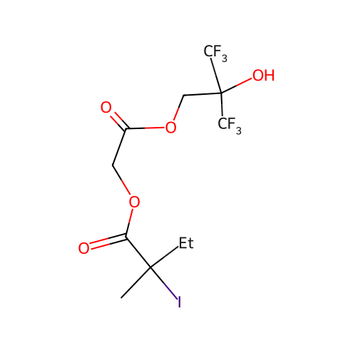 CCC(C)(I)C(=O)OCC(=O)OCC(O)(C(F)(F)F)C(F)(F)F